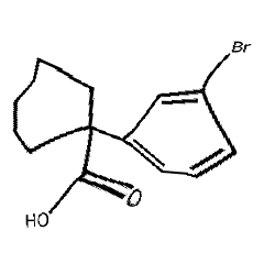 O=C(O)C1(c2cccc(Br)c2)CCCC1